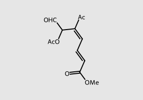 COC(=O)C=CC=C(C(C)=O)C(C=O)OC(C)=O